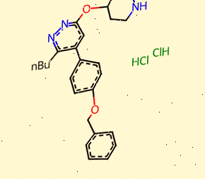 CCCCc1nnc(OC2CCNCC2)cc1-c1ccc(OCc2ccccc2)cc1.Cl.Cl